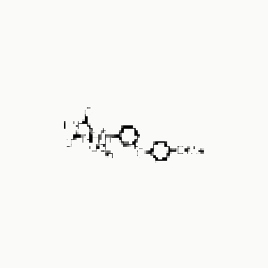 COc1ccc(Oc2cccc(N(C[C@@H]3NC(=O)NC3=O)[SH](=O)=O)c2)cc1